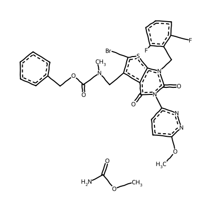 COC(N)=O.COc1ccc(-n2c(=O)c3c(CN(C)C(=O)OCc4ccccc4)c(Br)sc3n(Cc3c(F)cccc3F)c2=O)nn1